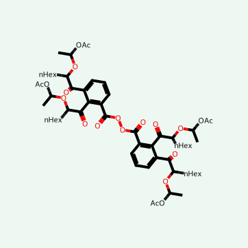 CCCCCCC(OC(C)OC(C)=O)C(=O)c1cccc(C(=O)OOC(=O)c2cccc(C(=O)C(CCCCCC)OC(C)OC(C)=O)c2C(=O)C(CCCCCC)OC(C)OC(C)=O)c1C(=O)C(CCCCCC)OC(C)OC(C)=O